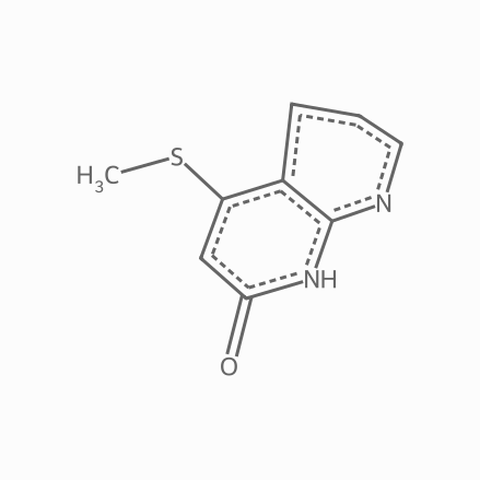 CSc1cc(=O)[nH]c2ncccc12